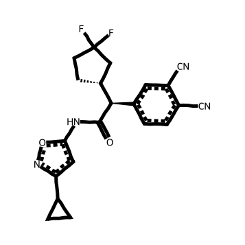 N#Cc1ccc([C@@H](C(=O)Nc2cc(C3CC3)no2)[C@@H]2CCC(F)(F)C2)cc1C#N